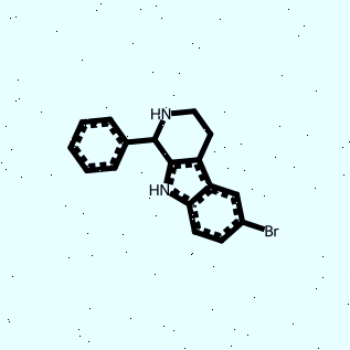 Brc1ccc2[nH]c3c(c2c1)CCNC3c1ccccc1